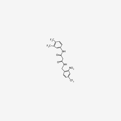 O=C(CC(=O)Nc1ccc(C(F)(F)F)c(C(F)(F)F)c1)NCc1ccc(C(F)(F)F)cc1[N+](=O)[O-]